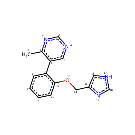 Cc1ncncc1-c1ccccc1OCc1c[nH]cn1